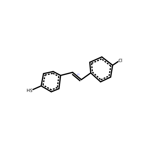 Sc1ccc(/C=C/c2ccc(Cl)cc2)cc1